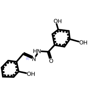 O=C(N/N=C/c1ccccc1O)c1cc(O)cc(O)c1